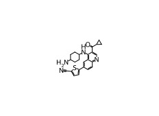 N#Cc1ccc(-c2ccc3ncc(C(=O)C4CC4)c(NC4CCC(N)CC4)c3c2)s1